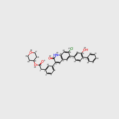 O=C(Cc1cccc(-c2cc3cc(-c4ccc(-c5ccccc5)c(O)c4)c(Cl)cc3[nH]c2=O)c1)OC1CCOCC1